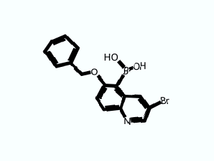 OB(O)c1c(OCc2ccccc2)ccc2ncc(Br)cc12